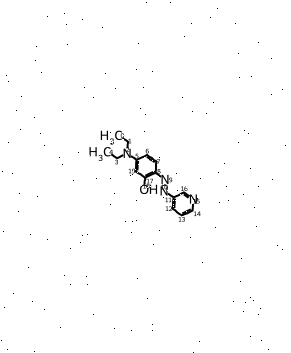 CCN(CC)c1ccc(/N=N/c2cccnc2)c(O)c1